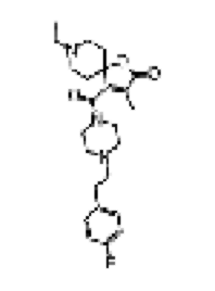 CCN1CCC2(CC1)OC(=O)C(C)=C2C(=O)N1CCN(CCc2ccc(F)cc2)CC1